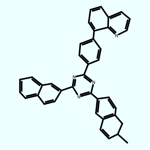 CC1C=Cc2cc(-c3nc(-c4ccc(-c5cccc6cccnc56)cc4)nc(-c4ccc5ccccc5c4)n3)ccc2C1